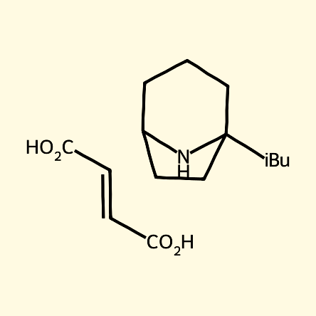 CCC(C)C12CCCC(CC1)N2.O=C(O)C=CC(=O)O